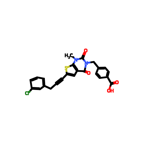 Cn1c(=O)n(Cc2ccc(C(=O)O)cc2)c(=O)c2cc(C#CCc3cccc(Cl)c3)sc21